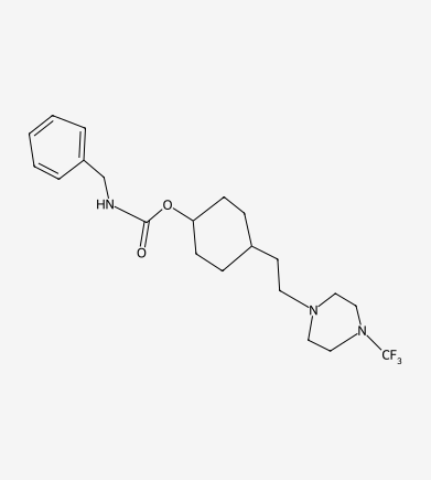 O=C(NCc1ccccc1)OC1CCC(CCN2CCN(C(F)(F)F)CC2)CC1